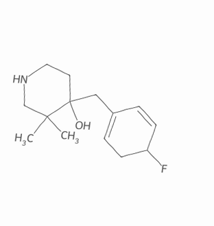 CC1(C)CNCCC1(O)CC1=CCC(F)C=C1